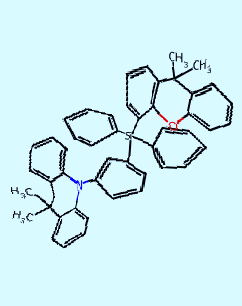 CC1(C)c2ccccc2N(c2cccc([Si](c3ccccc3)(c3ccccc3)c3cccc4c3Oc3ccccc3C4(C)C)c2)c2ccccc21